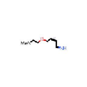 CNCCOC/C=C\C=N